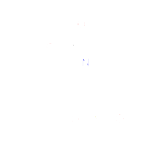 COC(=O)N1CC(S(C)(=O)=O)CC1C